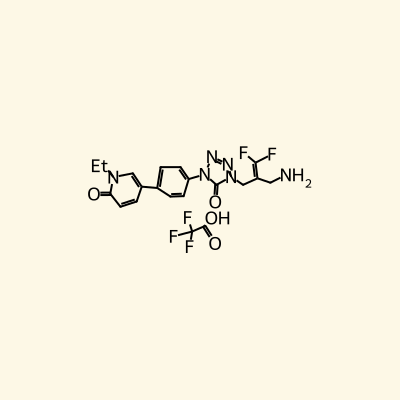 CCn1cc(-c2ccc(-n3nnn(CC(CN)=C(F)F)c3=O)cc2)ccc1=O.O=C(O)C(F)(F)F